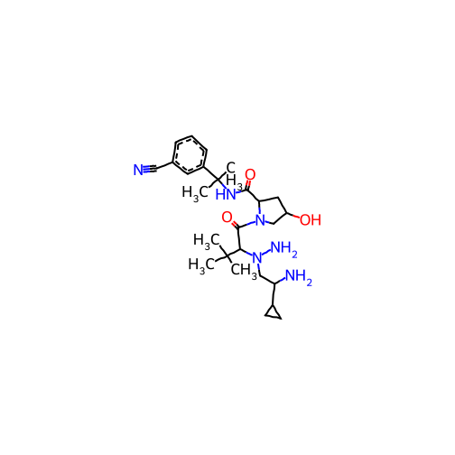 CC(C)(NC(=O)C1CC(O)CN1C(=O)C(N(N)CC(N)C1CC1)C(C)(C)C)c1cccc(C#N)c1